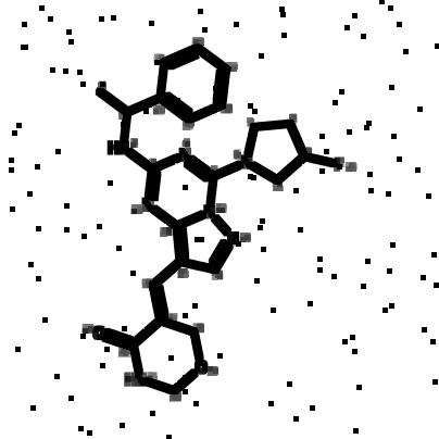 CC(Nc1nc(N2CCC(F)C2)n2ncc(/C=C3\COCNC3=O)c2n1)c1ccccc1